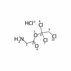 Cl.NCC(=O)OC(Cl)(Cl)CCl